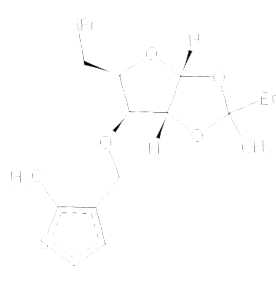 CCC1(C)O[C@H]2O[C@H](CC(C)C)[C@H](OCc3ccsc3C)[C@H]2O1